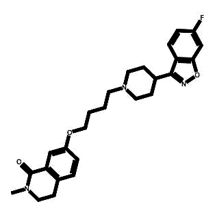 CN1CCc2ccc(OCCCCN3CCC(c4noc5cc(F)ccc45)CC3)cc2C1=O